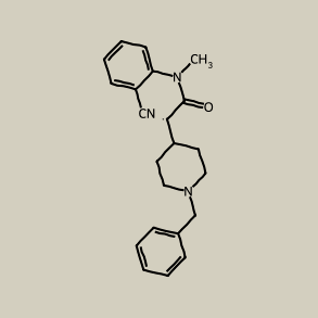 CN(C(=O)[CH]C1CCN(Cc2ccccc2)CC1)c1ccccc1C#N